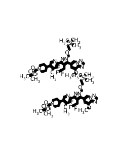 COc1cc(-c2c(CC(F)(F)F)c(-c3cc(C)c(C4CCN(C(=O)OC(C)(C)C)CC4)cn3)nn2COCC[Si](C)(C)C)cn2ncnc12.COc1cc(-c2c(CC(F)(F)F)c(-c3cc(C)c(C4CCN(C(=O)OC(C)(C)C)CC4)cn3)nn2COCC[Si](C)(C)C)cn2ncnc12